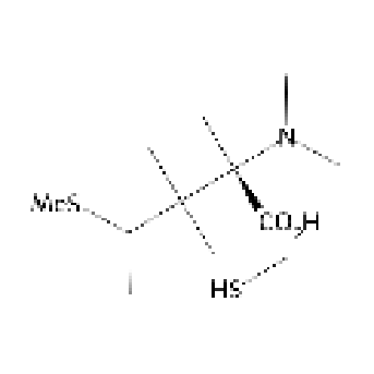 CS.CSC(C)C(C)(C)[C@@](C)(C(=O)O)N(C)C